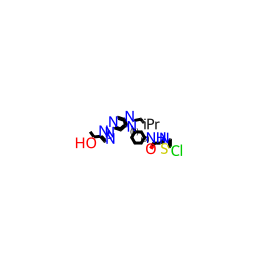 CC(C)Cc1nc2cnc(-n3ncc(C(C)O)n3)cc2n1[C@@H]1CCC[C@H](NC(=O)c2ncc(Cl)s2)C1